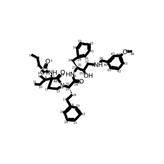 CCCS(=O)(=O)N[C@]1(C(C)CC)CCN([C@@H](CCc2ccccc2)C(=O)N[C@@H](Cc2ccccc2)C(O)CNCc2cccc(OC)c2)C1=O